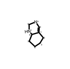 C1=C2CCCCC2NC[N]1